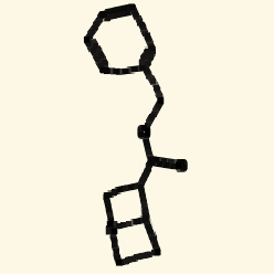 O=C(OCc1ccccc1)C1CN2CCC12